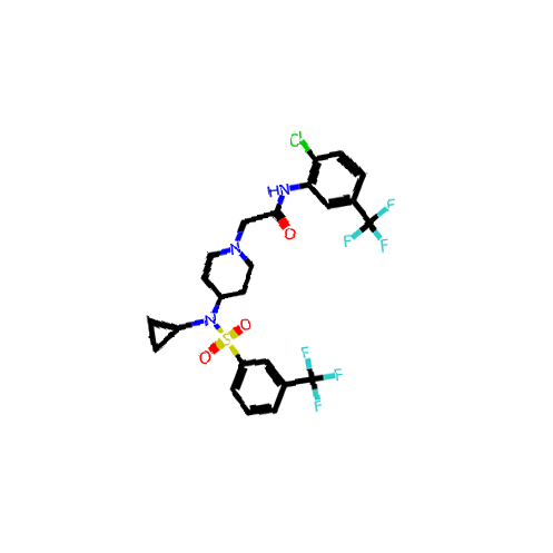 O=C(CN1CCC(N(C2CC2)S(=O)(=O)c2cccc(C(F)(F)F)c2)CC1)Nc1cc(C(F)(F)F)ccc1Cl